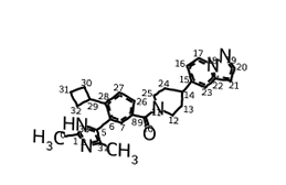 Cc1nc(C)c(-c2cc(C(=O)N3CCC(c4ccn5nccc5c4)CC3)ccc2C2CCC2)[nH]1